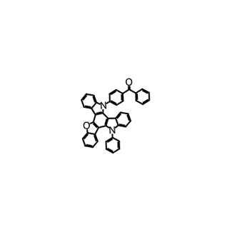 O=C(c1ccccc1)c1ccc(-n2c3ccccc3c3c4oc5ccccc5c4c4c(c5ccccc5n4-c4ccccc4)c32)cc1